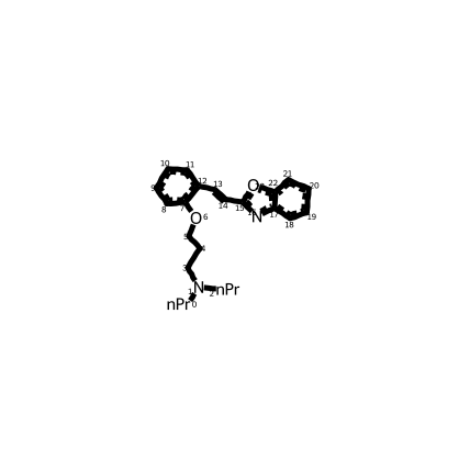 CCCN(CCC)CCCOc1ccccc1C=Cc1nc2ccccc2o1